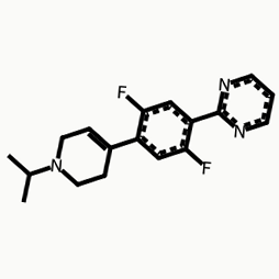 CC(C)N1CC=C(c2cc(F)c(-c3ncccn3)cc2F)CC1